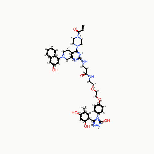 C=CC(=O)N1CCN(c2nc(NCCC(=O)NCCOCCOc3ccc(-n4c(O)nnc4-c4cc(CC)c(O)cc4O)cc3)nc3c2CCN(c2cc(O)cc4ccccc24)C3)CC1